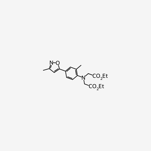 CCOC(=O)CN(CC(=O)OCC)c1ccc(-c2cc(C)no2)cc1C